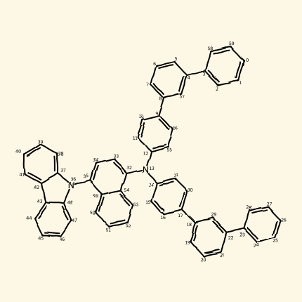 c1ccc(-c2cccc(-c3ccc(N(c4ccc(-c5cccc(-c6ccccc6)c5)cc4)c4ccc(-n5c6ccccc6c6ccccc65)c5ccccc45)cc3)c2)cc1